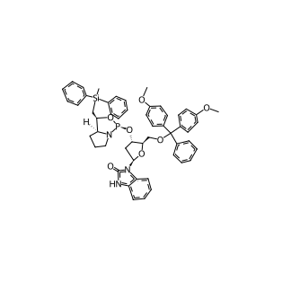 COc1ccc(C(OC[C@H]2O[C@@H](n3c(=O)[nH]c4ccccc43)C[C@@H]2O[P@]2O[C@H](C[Si](C)(c3ccccc3)c3ccccc3)[C@@H]3CCCN32)(c2ccccc2)c2ccc(OC)cc2)cc1